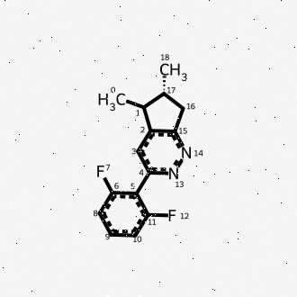 CC1c2cc(-c3c(F)cccc3F)nnc2C[C@H]1C